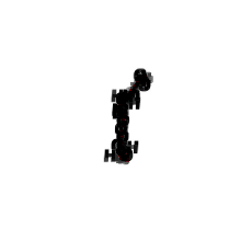 CC(=O)C(C)NC(=O)CNC(=O)CCOCCOCCOCCn1cc(CNC(=O)CNC(=O)CCCCCN2C(=O)C=CC2=O)nn1